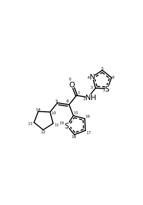 O=C(Nc1nccs1)/C(=C/C1CCCC1)c1cccs1